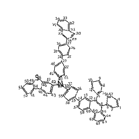 c1ccc(-c2c(-c3ccccc3)c3cc(-c4ccc(N(c5ccc(-c6ccc(-c7ccc8ccccc8c7)cc6)cc5)c5ccc6c(c5)sc5ccccc56)cc4)ccc3c3ccccc23)cc1